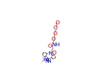 COCCOCCOCCOCCNC(=O)CCC(=O)N1Cc2ccccc2-c2c(nnn2C(C)C)-c2ccccc21